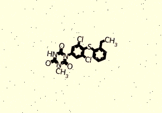 CCc1ccccc1Sc1c(Cl)cc(-n2c(=O)[nH]c(=O)n(C)c2=O)cc1Cl